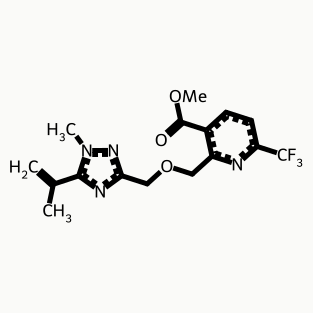 C=C(C)c1nc(COCc2nc(C(F)(F)F)ccc2C(=O)OC)nn1C